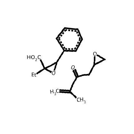 C=C(C)C(=O)CC1CO1.CCC1(C(=O)O)OC1c1ccccc1